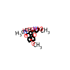 COc1ccc(C23Oc4cc(OC)cnc4C2(O)C(O)C(C(=O)N(C)C)C3c2ccccc2)cc1